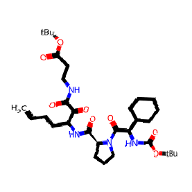 C=CCCC(NC(=O)[C@@H]1CCCN1C(=O)C(NC(=O)OC(C)(C)C)C1CCCCC1)C(=O)C(=O)NCCC(=O)OC(C)(C)C